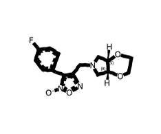 [O-][n+]1onc(CN2C[C@@H]3OCCO[C@@H]3C2)c1-c1ccc(F)cc1